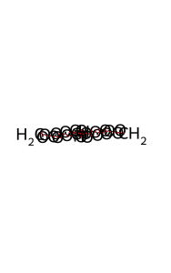 C=CC(=O)OCCCCOC(=O)Oc1ccc(C(=O)OC2=CCC(C(=O)O[C@H]3CO[C@H]4[C@@H]3OC[C@H]4OC(=O)c3ccc(OC(=O)c4ccc(OC(=O)OCCCCOC(=O)C=C)cc4)cc3)C=C2)cc1